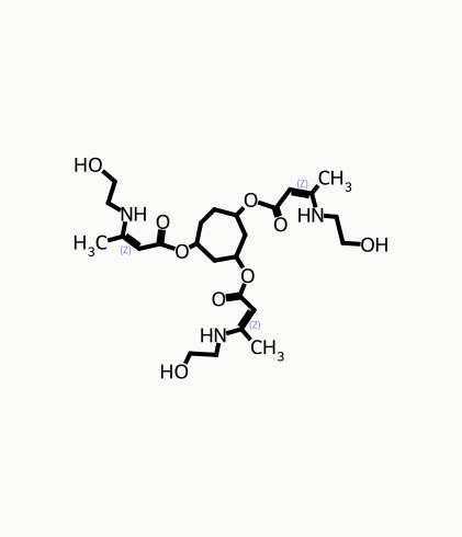 C/C(=C/C(=O)OC1CCC(OC(=O)/C=C(/C)NCCO)CC(OC(=O)/C=C(/C)NCCO)C1)NCCO